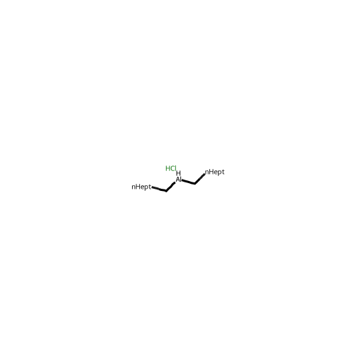 CCCCCCC[CH2][AlH][CH2]CCCCCCC.Cl